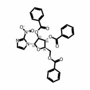 O=C(OC[C@H]1O[C@H](n2ccnc2[N+](=O)[O-])[C@@H](OC(=O)c2ccccc2)[C@@H]1OC(=O)c1ccccc1)c1ccccc1